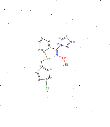 CCON=C(c1ccccc1SCc1ccc(Cl)cc1)n1ccnc1